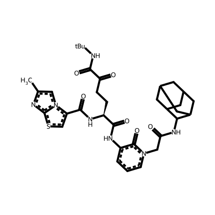 Cc1cn2c(C(=O)N[C@@H](CCC(=O)C(=O)NC(C)(C)C)C(=O)Nc3cccn(CC(=O)NC4C5CC6CC(C5)CC4C6)c3=O)csc2n1